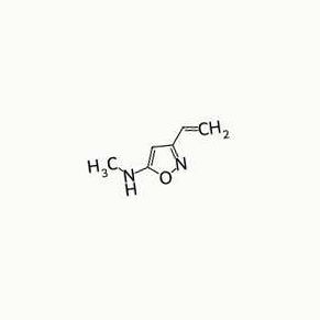 C=Cc1cc(NC)on1